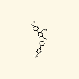 CCOc1ccc(-c2cnc(C(=O)N3CCC(c4ccc(N)nn4)CC3)cc2OC)cn1